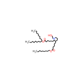 CCCCCCCCCOC1OC1CCCCC1CCCN(CCO)C1CCCCCC(=O)OC(CCCCCCCC)CCCCCCCC